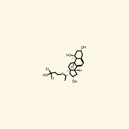 CCC(O)(CC)CCSC(C)[C@H]1[C@@H](O)C[C@H]2C3=CC=C4C[C@@H](O)C[C@H](O)[C@]4(C)[C@H]3CC[C@@]21C